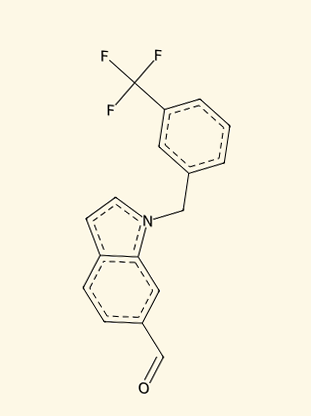 O=Cc1ccc2ccn(Cc3cccc(C(F)(F)F)c3)c2c1